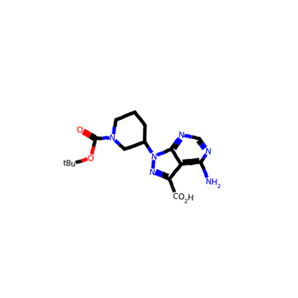 CC(C)(C)OC(=O)N1CCCC(n2nc(C(=O)O)c3c(N)ncnc32)C1